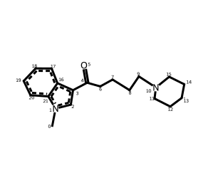 Cn1cc(C(=O)CCCCN2CC[CH]CC2)c2ccccc21